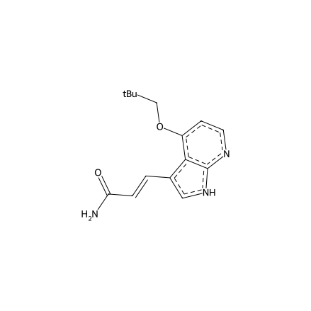 CC(C)(C)COc1ccnc2[nH]cc(C=CC(N)=O)c12